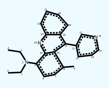 CCN(CC)c1ccc(C)c2c(-c3cccnc3)c3ccccc3nc12